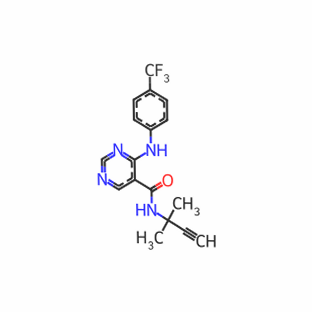 C#CC(C)(C)NC(=O)c1cncnc1Nc1ccc(C(F)(F)F)cc1